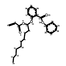 C=CC(=O)OC(CCCCCCCCC)Oc1ccccc1C(=O)Oc1[c]cccc1